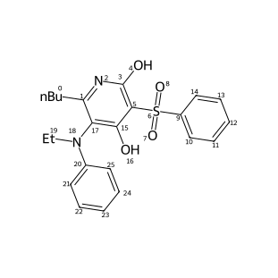 CCCCc1nc(O)c(S(=O)(=O)c2ccccc2)c(O)c1N(CC)c1ccccc1